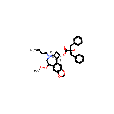 CCCCN1CC(OOC)c2cc3c(cc2[C@@H]2[C@H](OC(=O)C(O)(Cc4ccccc4)Cc4ccccc4)C[C@@H]21)OCO3